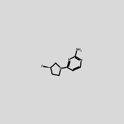 Nc1nccc(N2CC[C@@H](F)C2)n1